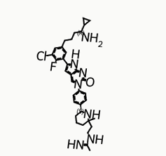 CC(=N)NCCC1(C)CCC[C@@H](c2ccc(-n3cc4cc(-c5cc(CCC[C@@H](N)C6CC6)cc(Cl)c5F)[nH]c4nc3=O)cc2)N1